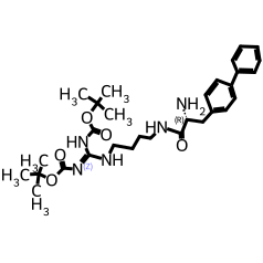 CC(C)(C)OC(=O)/N=C(/NCCCCNC(=O)[C@H](N)Cc1ccc(-c2ccccc2)cc1)NC(=O)OC(C)(C)C